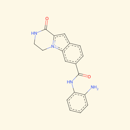 Nc1ccccc1NC(=O)c1ccc2cc3n(c2c1)CCNC3=O